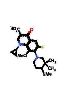 CNC1CCN(c2c(F)cc3c(=O)c(C(=O)O)cn(C4CC4)c3c2OC)CC1(C)C